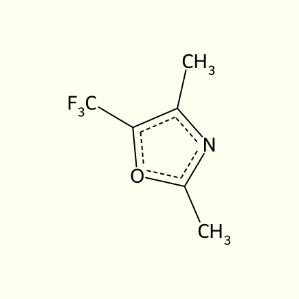 Cc1nc(C)c(C(F)(F)F)o1